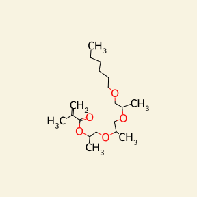 C=C(C)C(=O)OC(C)COC(C)COC(C)COCCCCCC